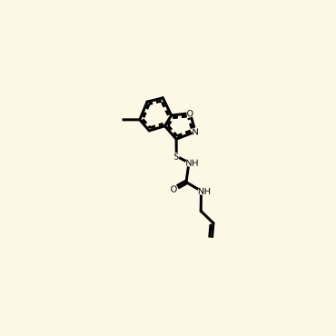 C=CCNC(=O)NSc1noc2ccc(C)cc12